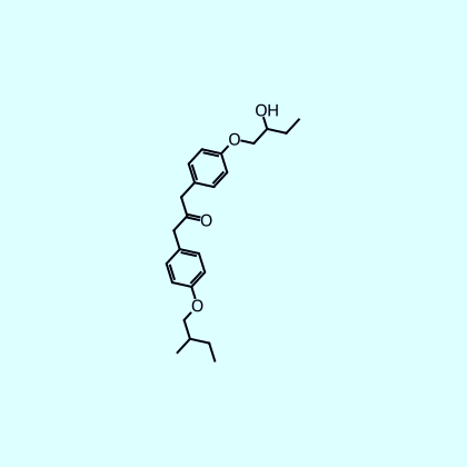 CCC(C)COc1ccc(CC(=O)Cc2ccc(OCC(O)CC)cc2)cc1